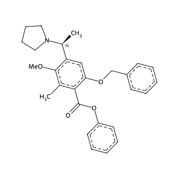 COc1c([C@H](C)N2CCCC2)cc(OCc2ccccc2)c(C(=O)Oc2ccccc2)c1C